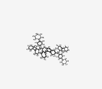 c1ccc2c(c1)oc1c(N(c3ccc(C4CCCCC4)cc3)c3ccc4c(c3)sc3cc(N(c5ccc(C6CCCCC6)cc5)c5cccc6c5oc5ccccc56)c5ccccc5c34)cccc12